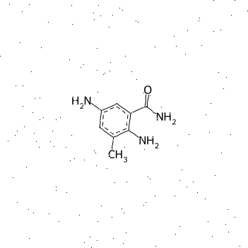 Cc1cc(N)cc(C(N)=O)c1N